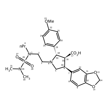 CCCN(CCN1C[C@H](c2ccc3c(c2)OCO3)[C@H](C(=O)O)[C@H]1c1ccc(OC)cc1)S(=O)(=O)N(C)C